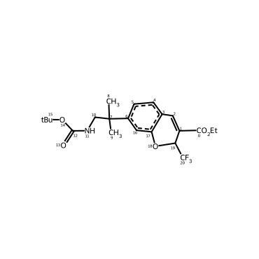 CCOC(=O)C1=Cc2ccc(C(C)(C)CNC(=O)OC(C)(C)C)cc2OC1C(F)(F)F